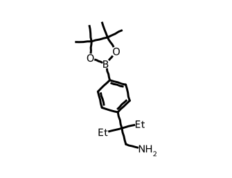 CCC(CC)(CN)c1ccc(B2OC(C)(C)C(C)(C)O2)cc1